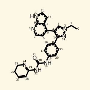 CCn1cc(-c2ccnc3[nH]ccc23)c(-c2ccc(NC(=O)NC3=NCCC=C3)cc2)n1